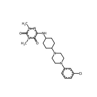 Cn1nc(NC2CCC(N3CCN(c4cccc(Cl)c4)CC3)CC2)c(=O)n(C)c1=O